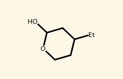 [CH2]CC1CCOC(O)C1